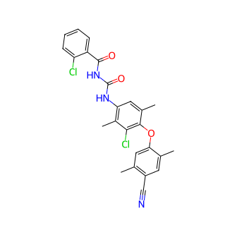 Cc1cc(Oc2c(C)cc(NC(=O)NC(=O)c3ccccc3Cl)c(C)c2Cl)c(C)cc1C#N